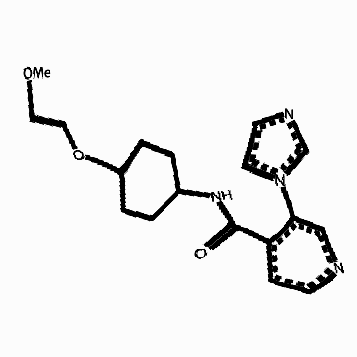 COCCOC1CCC(NC(=O)c2ccncc2-n2ccnc2)CC1